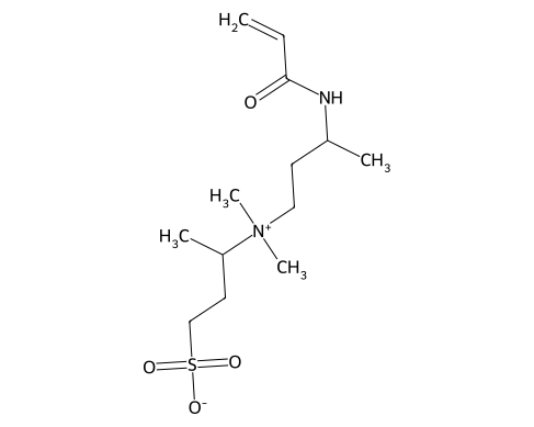 C=CC(=O)NC(C)CC[N+](C)(C)C(C)CCS(=O)(=O)[O-]